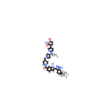 CN(c1ccc(C2CCC(=O)NC2=O)cn1)C1CCN(CC2CCN(C(=O)c3ccc4cc(-c5n[nH]c6c5CCC(C)(C)C6)[nH]c4c3)CC2)CC1